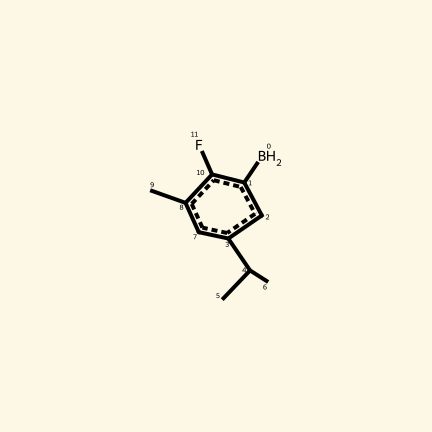 Bc1cc(C(C)C)cc(C)c1F